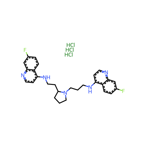 Cl.Cl.Cl.Fc1ccc2c(NCCCN3CCCC3CCNc3ccnc4cc(F)ccc34)ccnc2c1